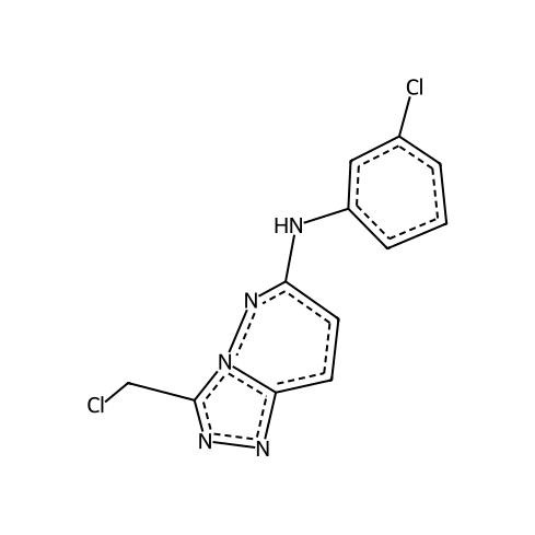 ClCc1nnc2ccc(Nc3cccc(Cl)c3)nn12